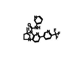 O=C(Nc1cccnc1)N1c2nc(-c3ccc(C(F)(F)F)nc3)ccc2N2CC[C@H]1C2